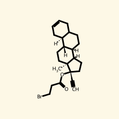 C#C[C@]1(OC(=O)CCBr)CC[C@H]2[C@@H]3CCC4CC=CC[C@@H]4[C@H]3CC[C@@]21C